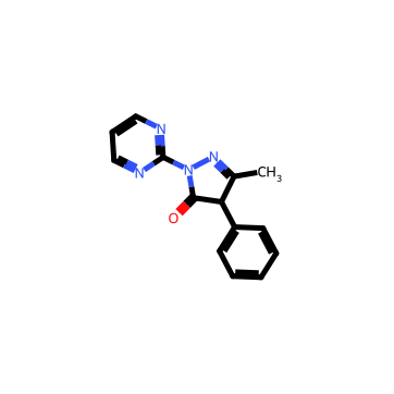 CC1=NN(c2ncccn2)C(=O)C1c1ccccc1